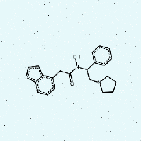 O=C(Cc1cccc2occc12)N(O)C(CN1CCCC1)c1ccccc1